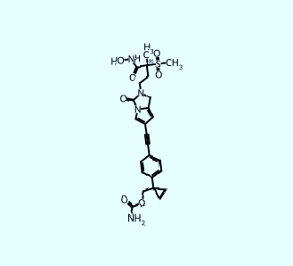 C[C@@](CCN1Cc2cc(C#Cc3ccc(C4(COC(N)=O)CC4)cc3)cn2C1=O)(C(=O)NO)S(C)(=O)=O